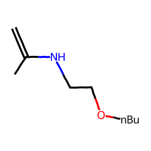 C=C(C)NCCOCCCC